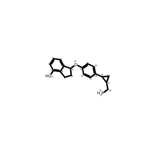 Oc1cccc2c1CCC2Oc1ccc(C2CC2CP)cc1